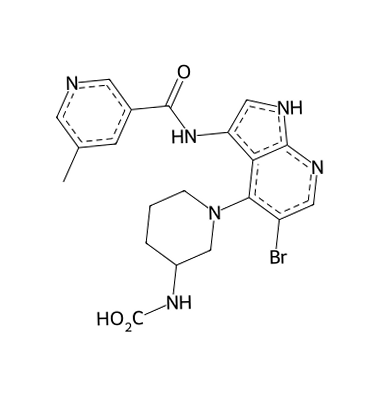 Cc1cncc(C(=O)Nc2c[nH]c3ncc(Br)c(N4CCCC(NC(=O)O)C4)c23)c1